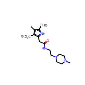 CCOC(=O)c1c(CC(=O)NCCN2CCN(C)CC2)[nH]c(C=O)c1C